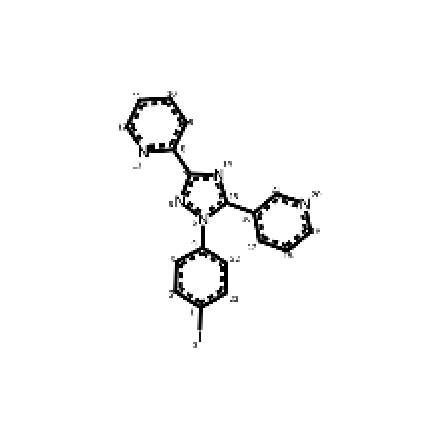 Ic1ccc(-n2nc(-c3ccccn3)nc2-c2cccnc2)cc1